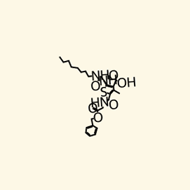 CCCCCCCCNC(=O)Nc1sc(C(=O)NCC(=O)OCc2ccccc2)c(C)c1C(=O)O